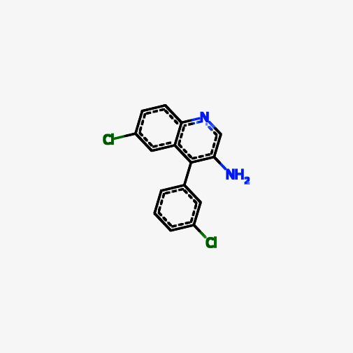 Nc1cnc2ccc(Cl)cc2c1-c1cccc(Cl)c1